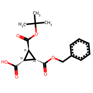 CC(C)(C)OC(=O)[C@@H]1[C@@H](C(=O)O)[C@H]1C(=O)OCc1ccccc1